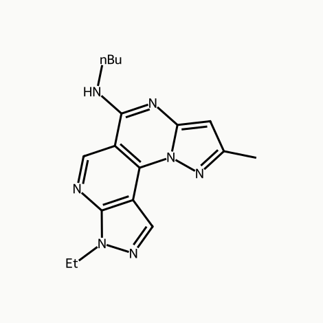 CCCCNc1nc2cc(C)nn2c2c1cnc1c2cnn1CC